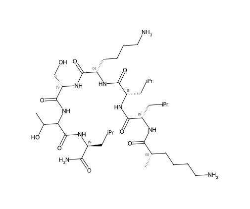 CC(C)C[C@H](NC(=O)C(NC(=O)[C@H](CO)NC(=O)[C@H](CCCCN)NC(=O)[C@H](CC(C)C)NC(=O)[C@H](CC(C)C)NC(=O)[C@@H](C)CCCCN)C(C)O)C(N)=O